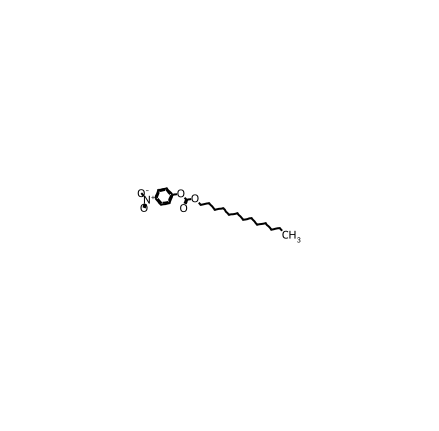 CCCCCCCCCCCCCOC(=O)Oc1ccc([N+](=O)[O-])cc1